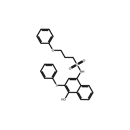 O=S(=O)(CCCOc1ccccc1)Nc1cc(Sc2ccccc2)c(O)c2ccccc12